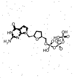 Nc1nc2c(ccn2C[C@H]2CC[C@@H](COP(=O)(O)OP(=O)(O)OP(=O)(O)O)O2)c(=O)[nH]1